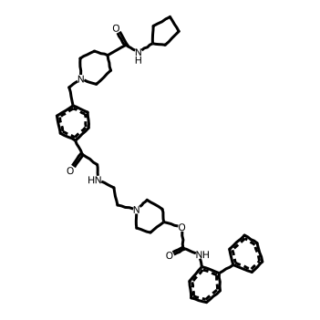 O=C(Nc1ccccc1-c1ccccc1)OC1CCN(CCNCC(=O)c2ccc(CN3CCC(C(=O)NC4CCCC4)CC3)cc2)CC1